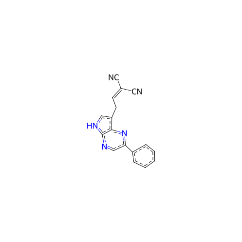 N#CC(C#N)=CCc1c[nH]c2ncc(-c3ccccc3)nc12